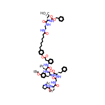 CC(=O)N1CCCC1C(=O)N[C@@H](CC(C)C)C(=O)NCC(=O)N[C@@H](CCc1ccccc1)C(=O)N[C@@H](Cc1ccc(OC(C)(C)C)cc1)C(=O)N[C@@H](CC(C)C)C(=O)Nc1ccccc1CC(=O)Oc1ccc(CCCCCCCC(=O)NCCNC(=O)[C@H](CCC(=O)O)NC(=O)OCc2ccccc2)cc1